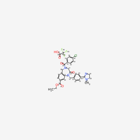 CCOC(=O)c1ccc2c(c1)N(Cc1ccc(C3=NCCN3C)cc1)C(=O)CN(C(=O)c1ccc(Cl)cc1)C2.O=C(O)C(F)(F)F